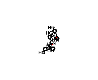 O=C(O[C@H]1CN2CCC1CC2)[C@](O)(c1cccc(O)c1)c1cccc(C2CN3CCC2[C@@H](OC(=O)[C@](O)(c2ccccc2)c2cccc(O)c2)C3)c1